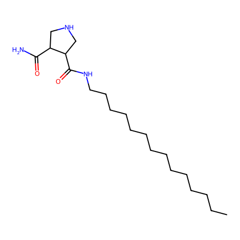 CCCCCCCCCCCCCCNC(=O)C1CNCC1C(N)=O